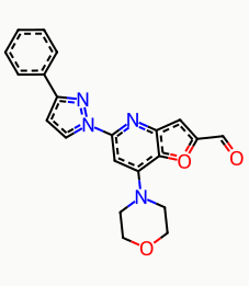 O=Cc1cc2nc(-n3ccc(-c4ccccc4)n3)cc(N3CCOCC3)c2o1